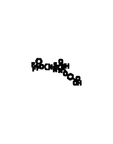 O=C(O)c1ccc(OCc2nc3nc(N4CCC(Oc5ccccc5C(F)(F)F)CC4)sc3c(=O)[nH]2)cc1